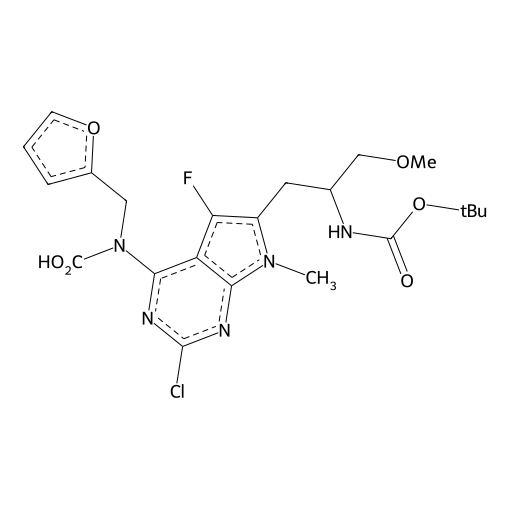 COCC(Cc1c(F)c2c(N(Cc3ccco3)C(=O)O)nc(Cl)nc2n1C)NC(=O)OC(C)(C)C